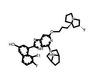 CCc1c(F)ccc2cc(O)cc(-c3nc4cc(OCCC[C@@]56CCCN5C[C@H](F)C6)nc(N5CC6CCC(C5)N6)c4[nH]3)c12